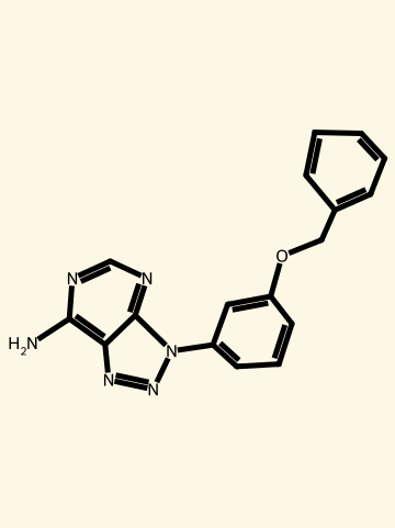 Nc1ncnc2c1nnn2-c1cccc(OCc2ccccc2)c1